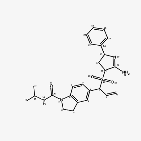 C=CC(c1ccc2c(c1)CCN2C(=O)NC(C)C)S(=O)(=O)N1CC(c2ccccc2)N=C1N